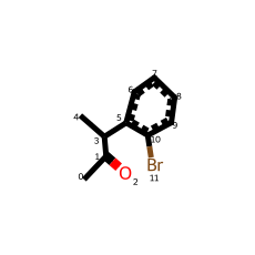 CC(=O)C(C)c1ccccc1Br